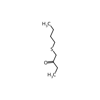 CCCCSCC(=O)CC